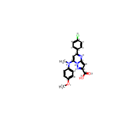 COc1ccc(N(C)c2cc(-c3ccc(Cl)cc3)nc3cc(C(=O)O)nn23)cc1